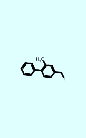 Cc1cc(CI)ccc1-c1ccccc1